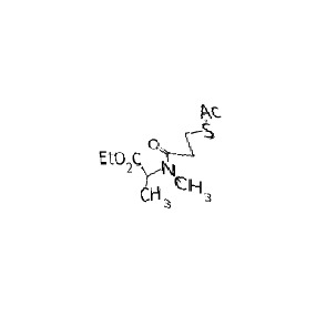 CCOC(=O)[C@H](C)N(C)C(=O)CCSC(C)=O